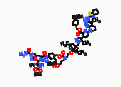 CNCc1cc(NC(=O)[C@H](CCCNC(N)=O)NC(=O)[C@@H](NC(=O)OC(C)(C)C)C(C)C)ccc1COC(=O)N(CCCO)CCOC12CC3(Cn4ncc(-c5ccc(N6CCCc7c6nnc(Nc6nc8ccccc8s6)c7C)nc5C(=O)OCc5ccc(OC)cc5)c4C)C[C@@](C)(C1)C[C@](C)(C3)C2